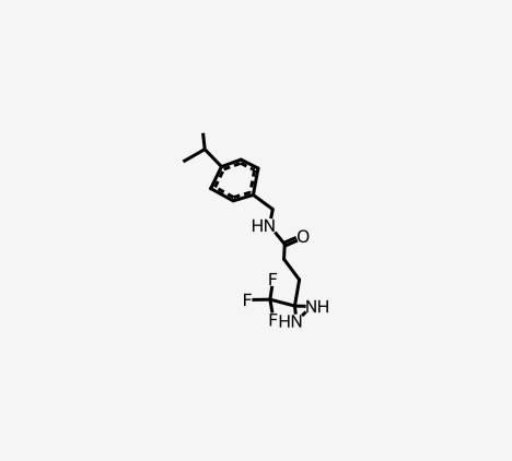 CC(C)c1ccc(CNC(=O)CCC2(C(F)(F)F)NN2)cc1